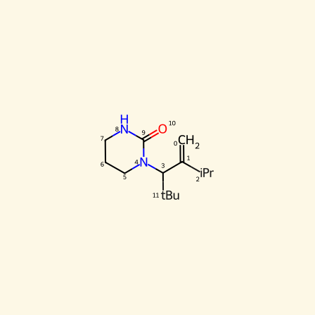 C=C(C(C)C)C(N1CCCNC1=O)C(C)(C)C